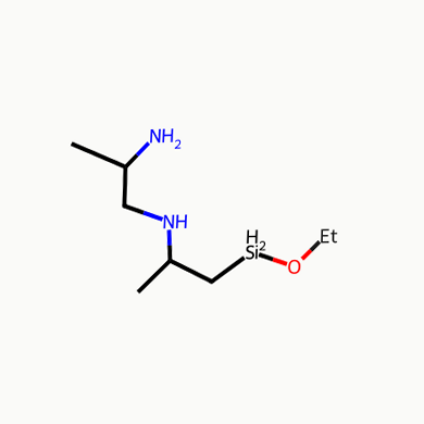 CCO[SiH2]CC(C)NCC(C)N